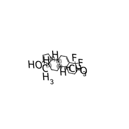 C[C@]12CCC(=O)C(F)(F)C1=CC[C@@H]1[C@H]2CC[C@]2(C)C(O)CC[C@@H]12